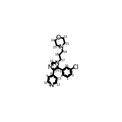 Clc1cccc(-c2c(-c3ccncc3)ncn2CCCN2CCOCC2)c1